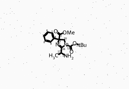 COC(=O)C1(c2ccccc2)CN(C(=O)OC(C)(C)C)C(C(C)N)=N1